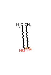 CCCCCCCCCCCCCCCC(O)=S.CCCCCCCCCCCCCCCC(O)=S